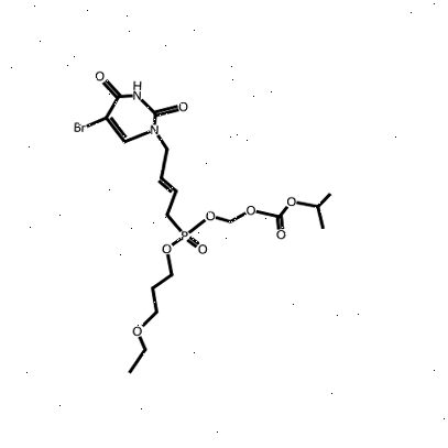 CCOCCCOP(=O)(C/C=C/Cn1cc(Br)c(=O)[nH]c1=O)OCOC(=O)OC(C)C